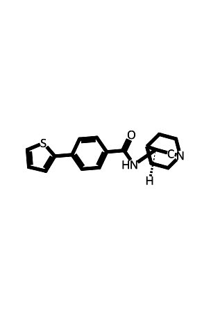 O=C(N[C@@H]1CN2CCC1CC2)c1ccc(-c2cccs2)cc1